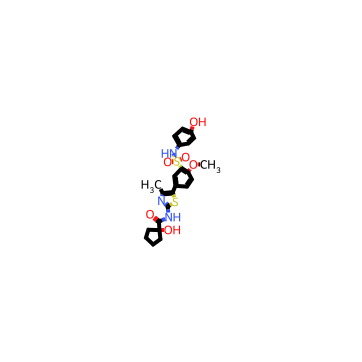 COc1ccc(-c2sc(NC(=O)C3(O)CCCC3)nc2C)cc1S(=O)(=O)Nc1ccc(O)cc1